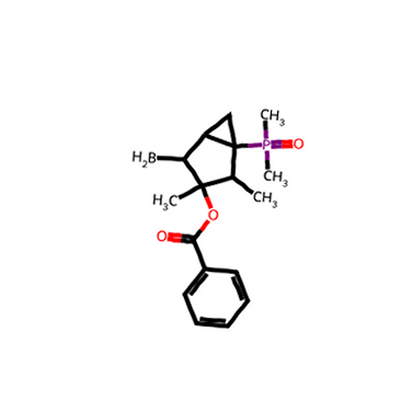 BC1C2CC2(P(C)(C)=O)C(C)C1(C)OC(=O)c1ccccc1